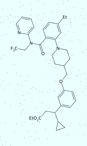 CCOC(=O)CC(c1cccc(OCC2CCN(c3cc(CC)ccc3C(=O)N(CC(F)(F)F)c3ccccn3)CC2)c1)C1CC1